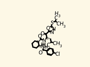 CC(C)C[C@H](NC(=O)[C@@H]1CCCC[C@@H]1NC(=O)c1ccc(Cl)cc1)C(=O)c1nnc(SC(C)C)o1